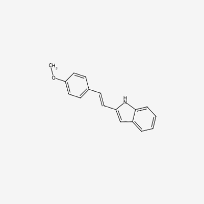 COc1ccc(/C=C/c2cc3ccccc3[nH]2)cc1